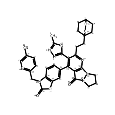 Cc1nnc(-c2c(CCC34CCC(CC3)OC4)nc3c(c2-c2ccc4c(c2)oc(=O)n4Cc2ccc(C#N)cn2)c(=O)n2n3CCC2)o1